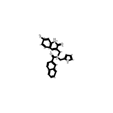 O=C(c1ccc2ccccc2c1)N(Cc1ccco1)Cc1cc2ccc(F)cc2[nH]c1=O